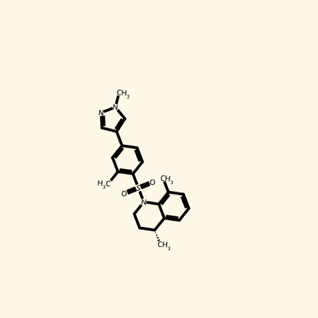 Cc1cc(-c2cnn(C)c2)ccc1S(=O)(=O)N1CC[C@@H](C)c2cccc(C)c21